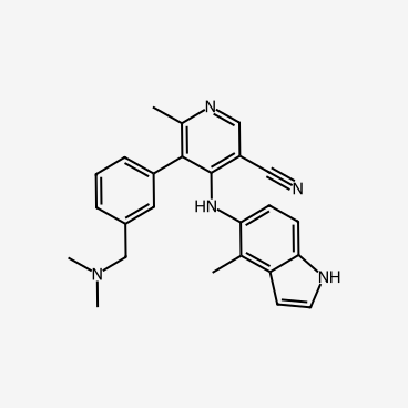 Cc1ncc(C#N)c(Nc2ccc3[nH]ccc3c2C)c1-c1cccc(CN(C)C)c1